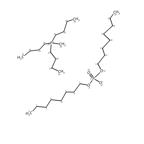 CCCCCCCCOP(=O)([O-])OCCCCCCCC.CCCC[P+](C)(CCCC)CCCC